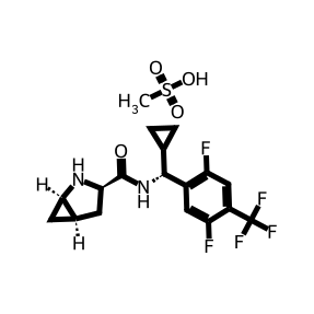 CS(=O)(=O)O.O=C(N[C@@H](c1cc(F)c(C(F)(F)F)cc1F)C1CC1)[C@H]1C[C@H]2C[C@H]2N1